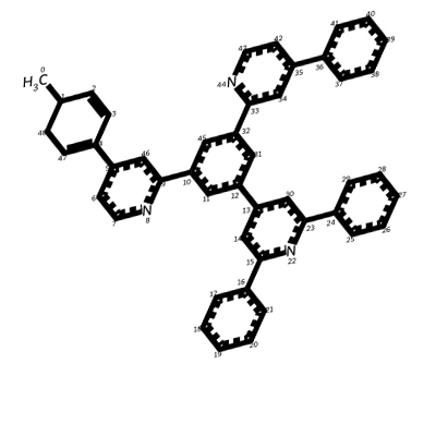 CC1C=CC(c2ccnc(-c3cc(-c4cc(-c5ccccc5)nc(-c5ccccc5)c4)cc(-c4cc(-c5ccccc5)ccn4)c3)c2)=CC1